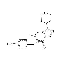 Cc1cn2c(C3CCOCC3)ncc2c(=O)n1Cc1ccc(N)cc1